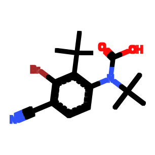 CC(C)(C)c1c(N(C(=O)O)C(C)(C)C)ccc(C#N)c1Br